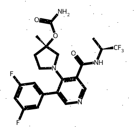 C[C@H](NC(=O)c1cncc(-c2cc(F)cc(F)c2)c1N1CC[C@](C)(OC(N)=O)C1)C(F)(F)F